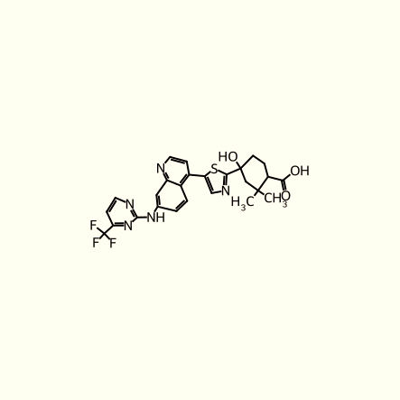 CC1(C)CC(O)(c2ncc(-c3ccnc4cc(Nc5nccc(C(F)(F)F)n5)ccc34)s2)CCC1C(=O)O